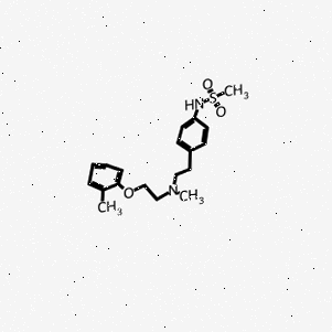 Cc1ccccc1OCCN(C)CCc1ccc(NS(C)(=O)=O)cc1